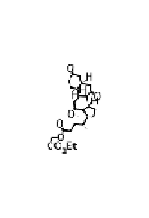 CCOC(=O)COC(=O)CC[C@@H](C)[C@H]1CC[C@H]2[C@@H]3C(=O)C[C@@H]4CC(=O)CC[C@]4(C)[C@H]3CC(=O)[C@]12C